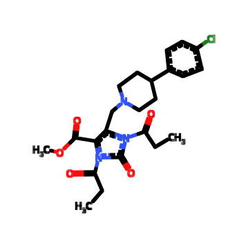 CCC(=O)n1c(CN2CCC(c3ccc(Cl)cc3)CC2)c(C(=O)OC)n(C(=O)CC)c1=O